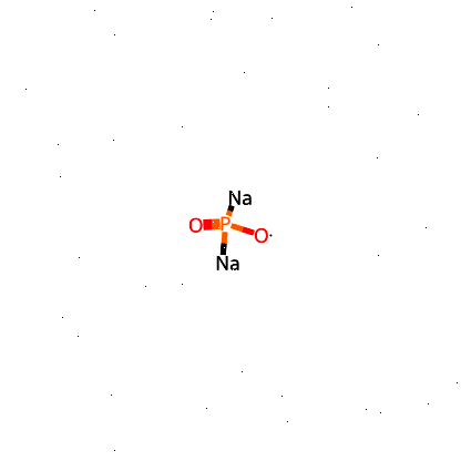 [O][P](=O)([Na])[Na]